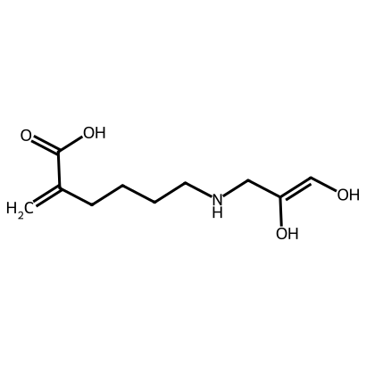 C=C(CCCCNCC(O)=CO)C(=O)O